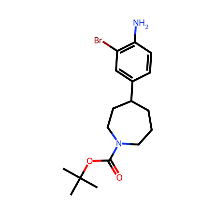 CC(C)(C)OC(=O)N1CCCC(c2ccc(N)c(Br)c2)CC1